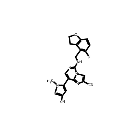 Cn1nc(C#N)cc1-c1cnc(NCc2c(F)ccc3c2CCO3)n2cc(C#N)nc12